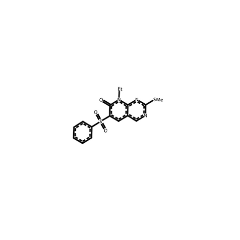 CCn1c(=O)c(S(=O)(=O)c2ccccc2)cc2cnc(SC)nc21